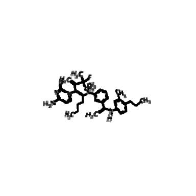 C=C(Nc1ccc(CCC)c(C)c1)c1cccc(N(C)/C(CCCC)=C(\C(=C)C(C)(C)F)n2ccc(N)nc2=O)c1